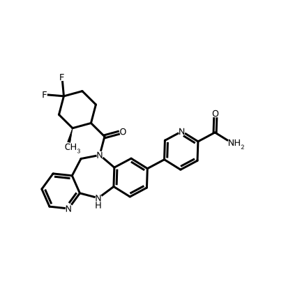 C[C@H]1CC(F)(F)CCC1C(=O)N1Cc2cccnc2Nc2ccc(-c3ccc(C(N)=O)nc3)cc21